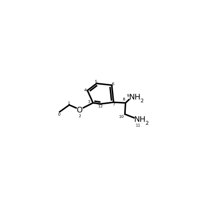 CCOc1cccc(C(N)CN)c1